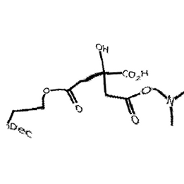 CCCCCCCCCCCCOC(=O)CC(O)(CC(=O)ON(C)C)C(=O)O